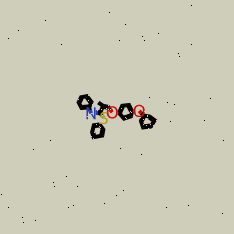 CC(=COc1ccc(Oc2ccccc2)cc1)C(=Nc1ccccc1)Sc1ccccc1